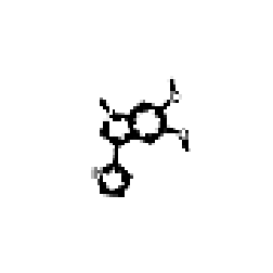 COc1cc2c(-c3ccc[nH]3)cn(C)c2cc1OC